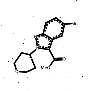 COC(=O)c1c2cc(Br)ccc2nn1C1CCOCC1